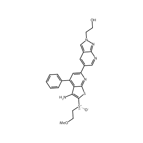 COCC[S@@+]([O-])c1sc2nc(-c3cnc4nn(CCO)cc4c3)cc(-c3ccccc3)c2c1N